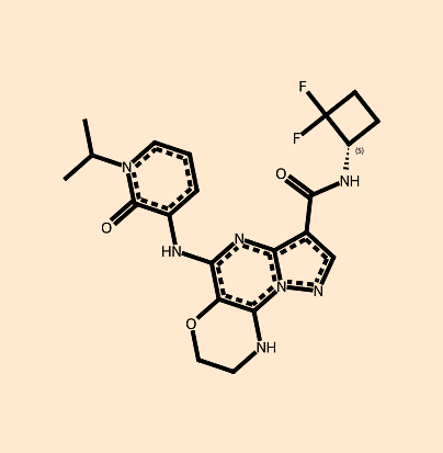 CC(C)n1cccc(Nc2nc3c(C(=O)N[C@H]4CCC4(F)F)cnn3c3c2OCCN3)c1=O